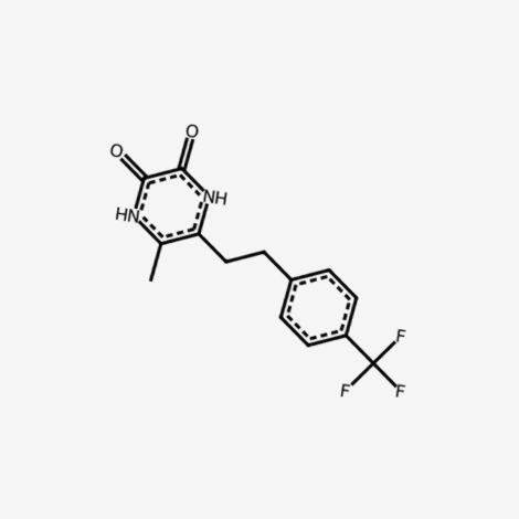 Cc1[nH]c(=O)c(=O)[nH]c1CCc1ccc(C(F)(F)F)cc1